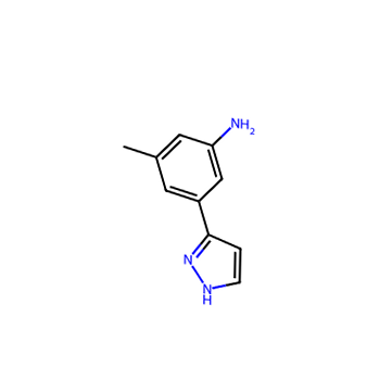 Cc1cc(N)cc(-c2cc[nH]n2)c1